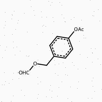 CC(=O)Oc1ccc(CO[C]=O)cc1